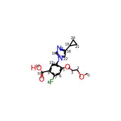 COCCOc1cc(F)c(C(=O)O)cc1-n1cnc(C2CC2)c1